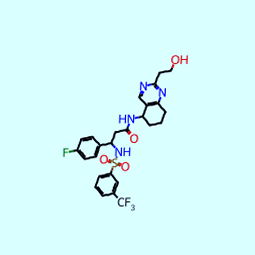 O=C(CC(NS(=O)(=O)c1cccc(C(F)(F)F)c1)c1ccc(F)cc1)NC1CCCc2nc(CCO)ncc21